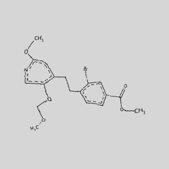 COCOc1cnc(OC)cc1CCc1ccc(C(=O)OC)cc1Br